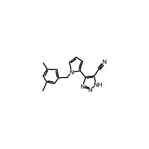 Cc1cc(C)cc(Cn2cccc2-c2nn[nH]c2C#N)c1